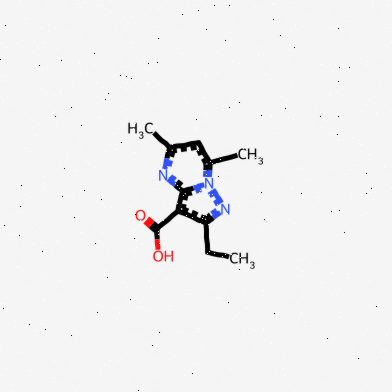 CCc1nn2c(C)cc(C)nc2c1C(=O)O